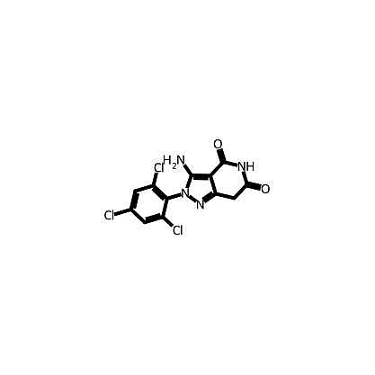 Nc1c2c(nn1-c1c(Cl)cc(Cl)cc1Cl)CC(=O)NC2=O